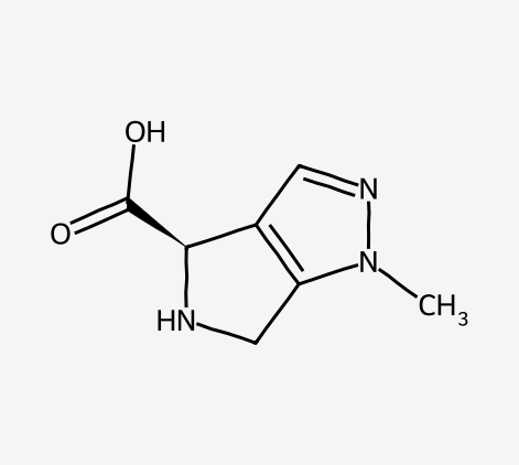 Cn1ncc2c1CN[C@H]2C(=O)O